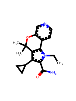 CCn1c(C(N)=O)c(C2CC2)c2c1-c1ccncc1OC2(C)C